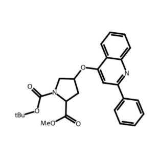 COC(=O)C1CC(Oc2cc(-c3ccccc3)nc3ccccc23)CN1C(=O)OC(C)(C)C